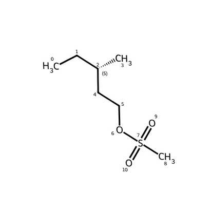 CC[C@H](C)CCOS(C)(=O)=O